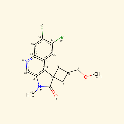 COCC1CC2(C1)C(=O)N(C)c1cnc3cc(F)c(Br)cc3c12